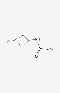 CC(C)C(=O)NC1C[S+]([O-])C1